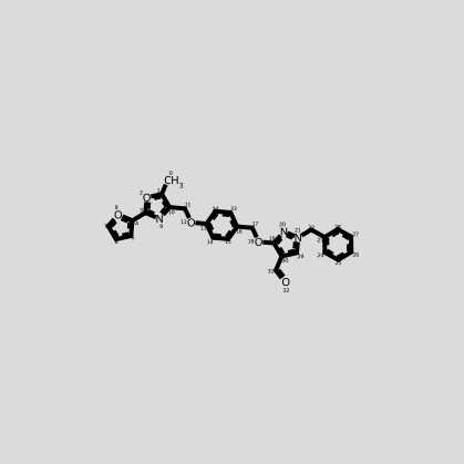 Cc1oc(-c2ccco2)nc1COc1ccc(COc2nn(Cc3ccccc3)cc2C=O)cc1